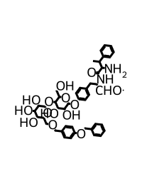 CC(c1ccccc1)C(N)C(=O)NC([C]=O)Cc1ccc(OC2OC(CO)C(OC3OC(COCc4ccc(OCc5ccccc5)cc4)C(O)C(O)C3O)C(O)C2O)cc1